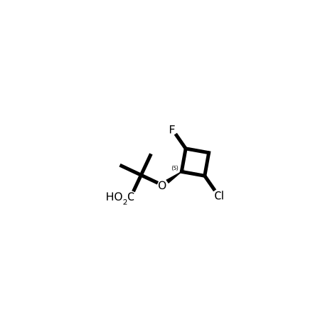 CC(C)(O[C@H]1C(F)CC1Cl)C(=O)O